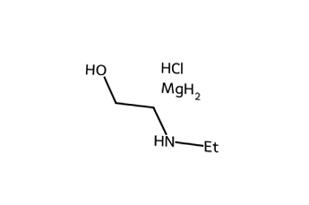 CCNCCO.Cl.[MgH2]